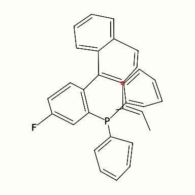 C/C=C(\C)c1ccc2ccccc2c1-c1ccc(F)cc1P(c1ccccc1)c1ccccc1